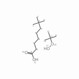 CC(C)(C)CCCCCC(=O)O.CC(C)(C)OO